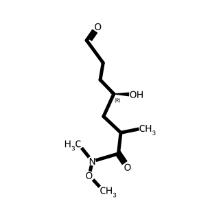 CON(C)C(=O)C(C)C[C@H](O)CCC=O